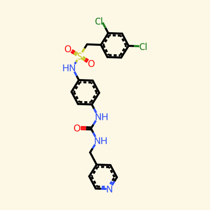 O=C(NCc1ccncc1)Nc1ccc(NS(=O)(=O)Cc2ccc(Cl)cc2Cl)cc1